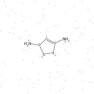 NC1=CC(N)SS1